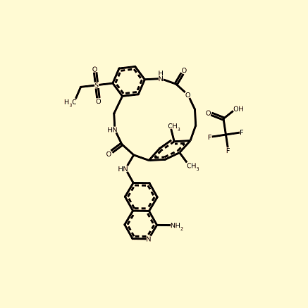 CCS(=O)(=O)c1ccc2cc1CNC(=O)C(Nc1ccc3c(N)nccc3c1)c1cc(C)c(c(C)c1)CCOC(=O)N2.O=C(O)C(F)(F)F